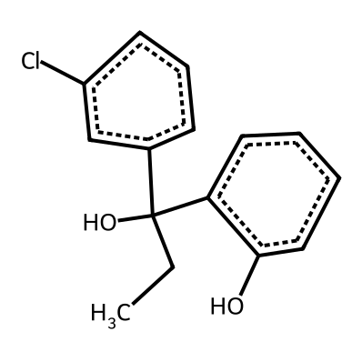 CCC(O)(c1cccc(Cl)c1)c1ccccc1O